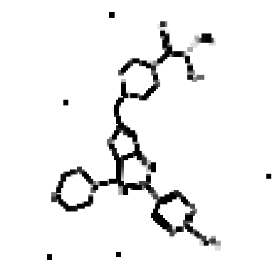 C[C@H](O)C(=O)N1CCN(Cc2cc3nc(-c4cnc(N)nc4)nc(N4CCOCC4)c3s2)CC1